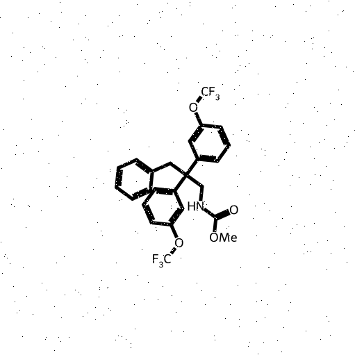 COC(=O)NCC(Cc1ccccc1)(c1cccc(OC(F)(F)F)c1)c1cccc(OC(F)(F)F)c1